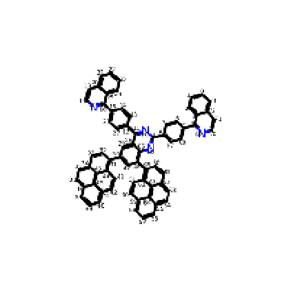 c1ccc2c(-c3ccc(-c4nc(-c5ccc(-c6nccc7ccccc67)cc5)c5cc(-c6ccc7ccc8cccc9ccc6c7c89)cc(-c6ccc7ccc8cccc9ccc6c7c89)c5n4)cc3)nccc2c1